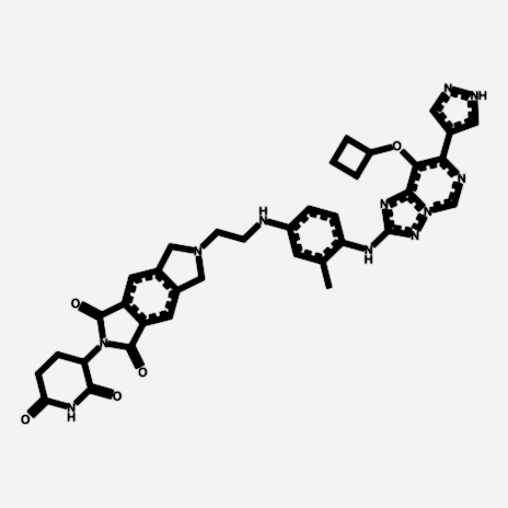 Cc1cc(NCCN2Cc3cc4c(cc3C2)C(=O)N(C2CCC(=O)NC2=O)C4=O)ccc1Nc1nc2c(OC3CCC3)c(-c3cn[nH]c3)ncn2n1